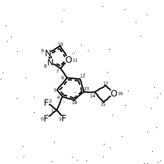 FC(F)(F)c1cc(-c2nnco2)cc(C2COC2)c1